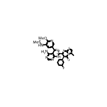 COc1ncc(C(=N)c2c(N)ncnc2N[C@@H](C)c2nc3scc(C)n3c(=O)c2-c2cccc(F)c2)cc1NSC